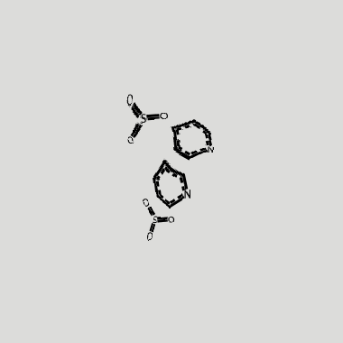 O=S(=O)=O.O=S(=O)=O.c1ccncc1.c1ccncc1